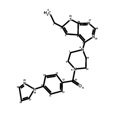 CCc1cc2c(N3CCN(C(=O)c4ccc(-n5cccn5)cc4)CC3)ncnc2s1